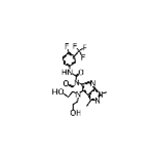 Cc1nn(C)c2ncc(N(C=O)C(=O)Nc3ccc(F)c(C(F)(F)F)c3)c(N(CCO)CCO)c12